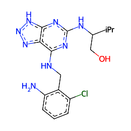 CC(C)C(CO)Nc1nc(NCc2c(N)cccc2Cl)c2nn[nH]c2n1